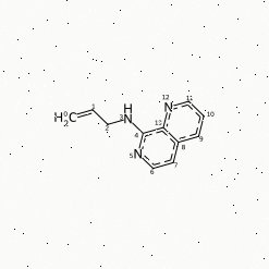 C=CCNc1nccc2cccnc12